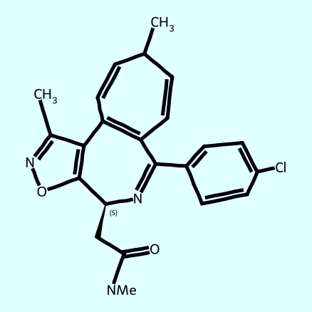 CNC(=O)C[C@@H]1N=C(c2ccc(Cl)cc2)C2=C(C=CC(C)C=C2)c2c(C)noc21